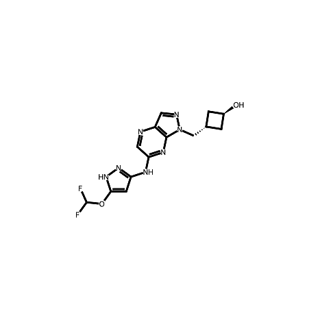 O[C@H]1C[C@H](Cn2ncc3ncc(Nc4cc(OC(F)F)[nH]n4)nc32)C1